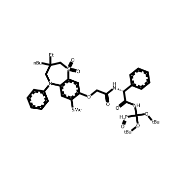 CCCCC1(CC)CN(c2ccccc2)c2cc(SC)c(OCC(=O)N[C@@H](C(=O)NC(OC(C)(C)C)(OC(C)(C)C)[PH2]=O)c3ccccc3)cc2S(=O)(=O)C1